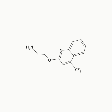 NCCOc1cc(C(F)(F)F)c2ccccc2n1